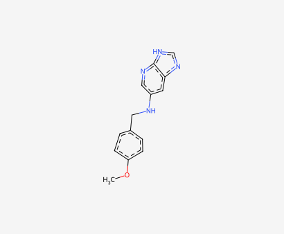 COc1ccc(CNc2cnc3[nH]cnc3c2)cc1